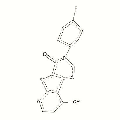 O=c1c2sc3nccc(O)c3c2ccn1-c1ccc(F)cc1